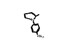 CC1CCCN1c1ccc(C(C)(C)C)cc1